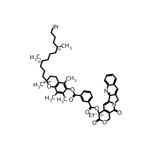 CC[C@@]1(OC(=O)c2cccc(C(=O)Oc3c(C)c(C)c4c(c3C)CC[C@@](C)(CCC[C@H](C)CCC[C@H](C)CCCC(C)C)O4)c2)C(=O)OCc2c1cc1n(c2=O)Cc2cc3ccccc3nc2-1